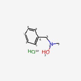 CN(O)Cc1ccccc1.Cl